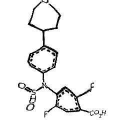 O=C(O)c1cc(F)c(N(c2ccc(C3CCOCC3)cc2)[SH](=O)=O)cc1F